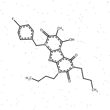 CCCCn1c(=O)c2c(nc3n(Cc4ccc(F)cc4)c(=O)c(C)c(O)n23)n(CCCC)c1=O